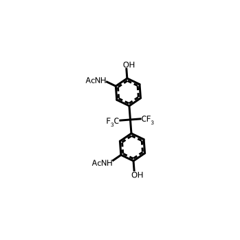 CC(=O)Nc1cc(C(c2ccc(O)c(NC(C)=O)c2)(C(F)(F)F)C(F)(F)F)ccc1O